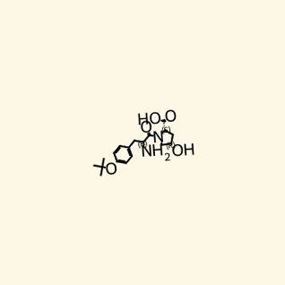 CC(C)(C)Oc1ccc(C[C@@H](N)C(=O)N2C[C@H](O)C[C@H]2C(=O)O)cc1